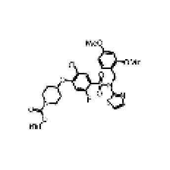 COc1ccc(CN(c2nccs2)S(=O)(=O)c2cc(Cl)c(OC3CCN(C(=O)OC(C)(C)C)CC3)cc2F)c(OC)c1